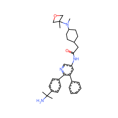 CN(C1CCC(CC(=O)Nc2cnc(-c3ccc(C(C)(C)N)cc3)c(-c3ccccc3)c2)CC1)C1(C)COC1